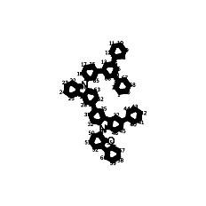 c1ccc(-c2cc(-c3ccccc3)cc(-c3cccc(-n4c5ccccc5c5cc(-c6ccc7c(c6)c6cc(-c8ccccc8)ccc6n7-c6cccc7c6oc6ccccc67)ccc54)c3)c2)cc1